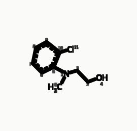 CN(CCO)c1ccccc1Cl